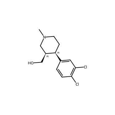 CN1CC[C@@H](c2ccc(Cl)c(Cl)c2)[C@@H](CO)C1